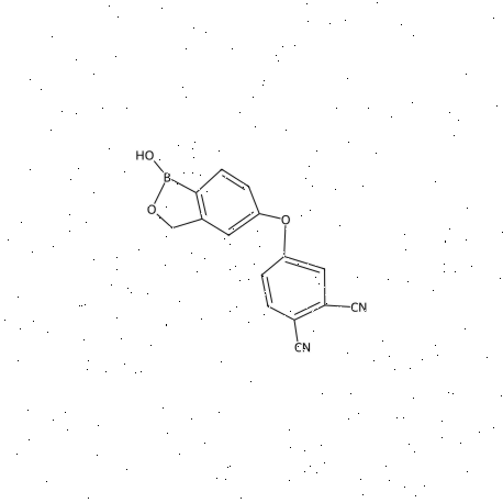 N#Cc1ccc(Oc2ccc3c(c2)COB3O)cc1C#N